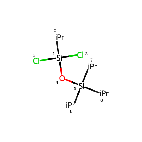 CC(C)[Si](Cl)(Cl)O[Si](C(C)C)(C(C)C)C(C)C